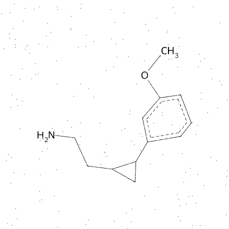 COc1cccc(C2CC2CCN)c1